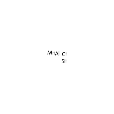 [Al].[C].[Mn].[Si]